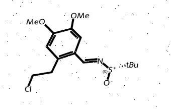 COc1cc(C=N[S@@+]([O-])C(C)(C)C)c(CCCl)cc1OC